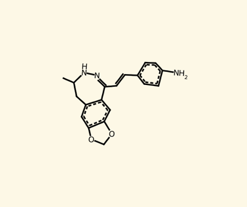 CC1Cc2cc3c(cc2C(/C=C/c2ccc(N)cc2)=NN1)OCO3